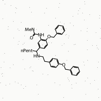 CCCCCC(NCCc1ccc(OCc2ccccc2)cc1)c1ccc(OCc2ccccc2)c(NC(=O)NC)c1